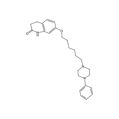 O=C1CCc2ccc(OCCCCCCN3CCN(c4ccccc4)CC3)cc2N1